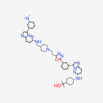 CN(C)c1cccc(-c2cnc3ccc(NCC4CCN(CCc5nnc(-c6cccc(-c7cnc8ccc(N[C@H]9CC[C@H](C(C)(C)O)CC9)nn78)c6)o5)CC4)nn23)c1